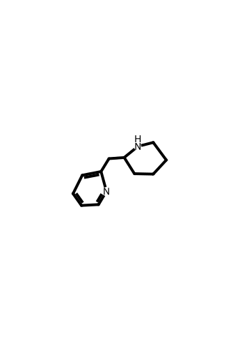 c1ccc(CC2CCCCN2)nc1